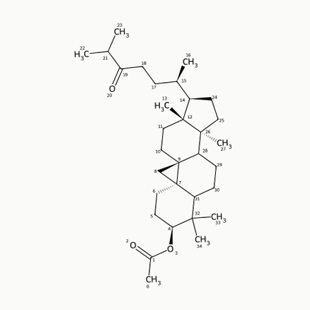 CC(=O)O[C@H]1CC[C@]23C[C@]24CC[C@]2(C)[C@@H]([C@H](C)CCC(=O)C(C)C)CC[C@@]2(C)C4CCC3C1(C)C